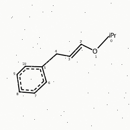 CC(C)OC=CCc1ccccc1